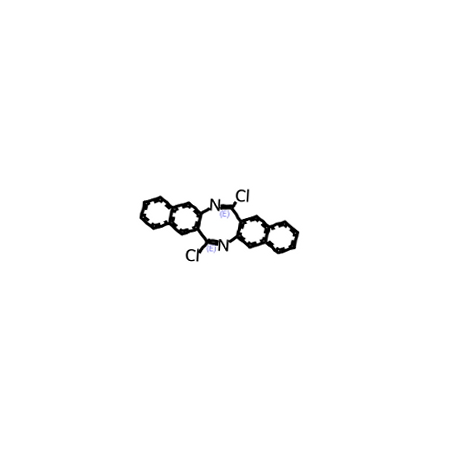 Cl/C1=N/c2cc3ccccc3cc2/C(Cl)=N\c2cc3ccccc3cc21